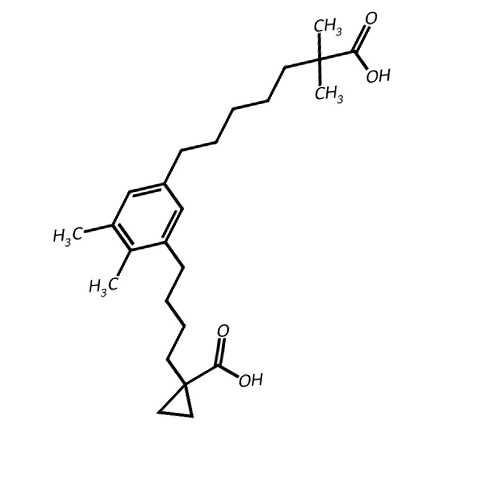 Cc1cc(CCCCCC(C)(C)C(=O)O)cc(CCCCC2(C(=O)O)CC2)c1C